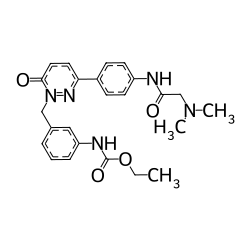 CCOC(=O)Nc1cccc(Cn2nc(-c3ccc(NC(=O)CN(C)C)cc3)ccc2=O)c1